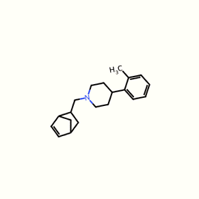 Cc1ccccc1C1CCN(CC2CC3C=CC2C3)CC1